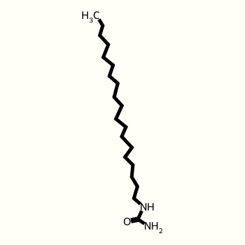 CCCCCCCCCCCCCCCCCCCNC(N)=O